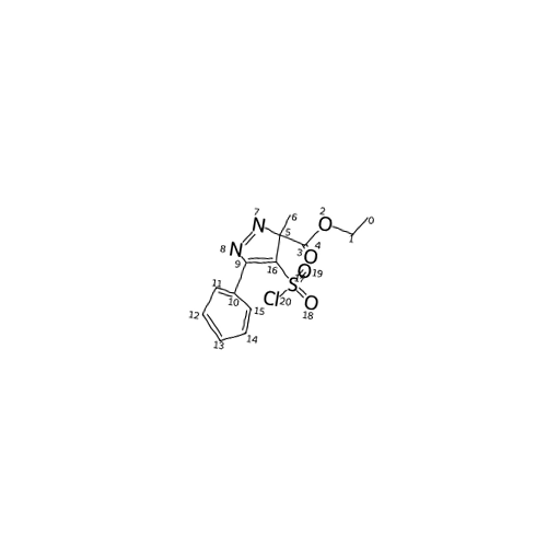 CCOC(=O)C1(C)N=NC(c2ccccc2)=C1S(=O)(=O)Cl